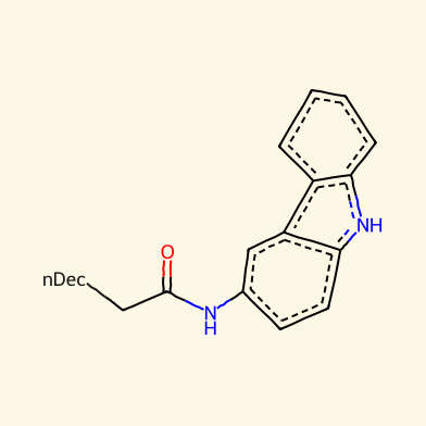 CCCCCCCCCCCC(=O)Nc1ccc2[nH]c3ccccc3c2c1